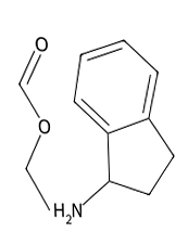 CCOC=O.NC1CCc2ccccc21